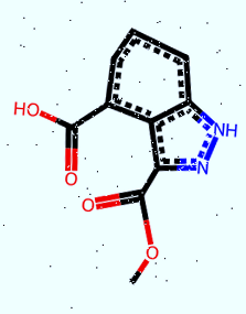 COC(=O)c1n[nH]c2cccc(C(=O)O)c12